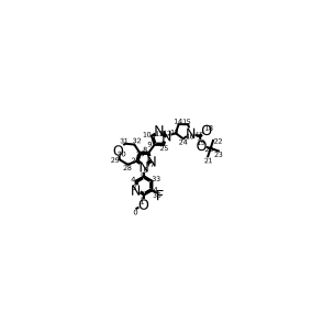 COc1ncc(-n2nc(-c3cnn(C4CCN(C(=O)OC(C)(C)C)C4)c3)c3c2CCOCC3)cc1F